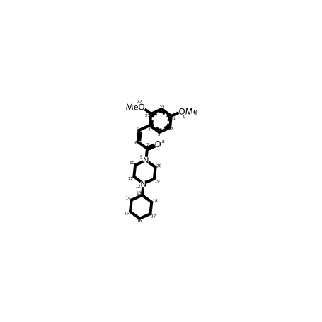 COc1ccc(/C=C\C(=O)N2CCN(C3CCCCC3)CC2)c(OC)c1